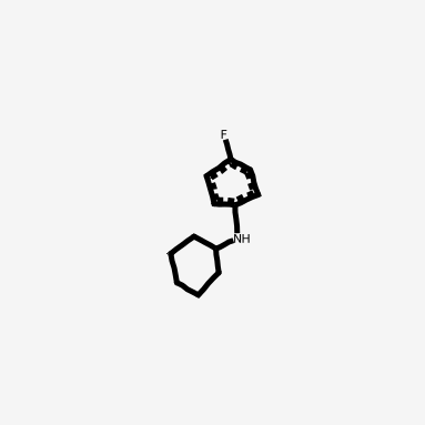 Fc1ccc(NC2C[CH]CCC2)cc1